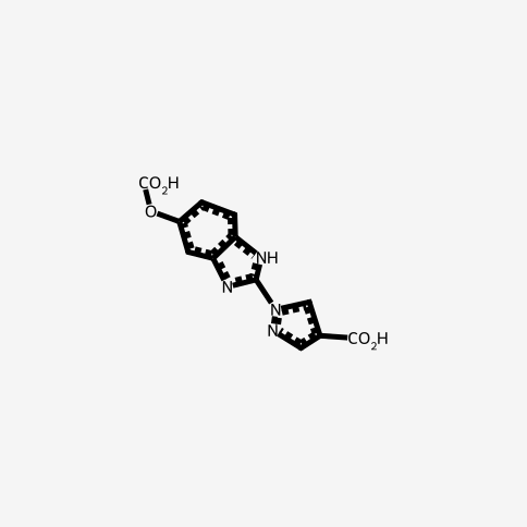 O=C(O)Oc1ccc2[nH]c(-n3cc(C(=O)O)cn3)nc2c1